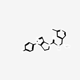 CCC[C@H](NC(=O)N1CCc2c1cnn2-c1ccc(F)cc1)c1ccnc(C)c1